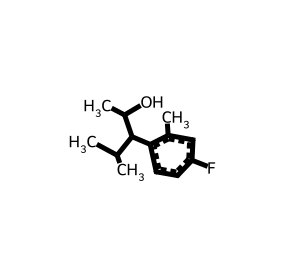 Cc1cc(F)ccc1C(C(C)C)C(C)O